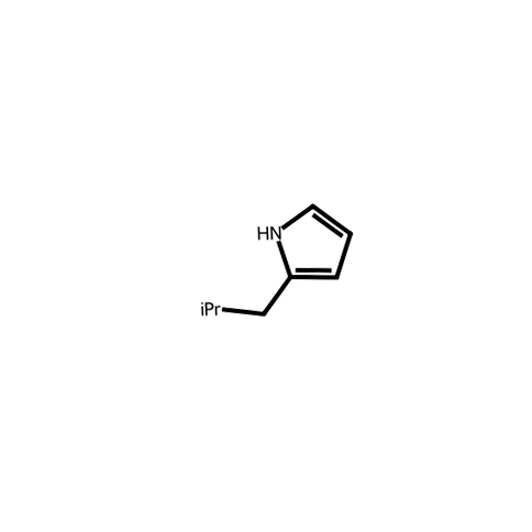 CC(C)Cc1ccc[nH]1